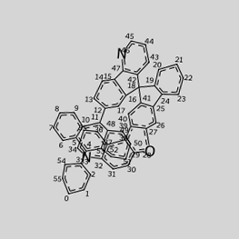 c1ccc(-c2c3ccccc3c(-c3ccc4c(c3)C3(c5ccccc5-c5cc6oc7ccc8ncccc8c7c6cc53)c3cccnc3-4)c3ccccc23)cc1